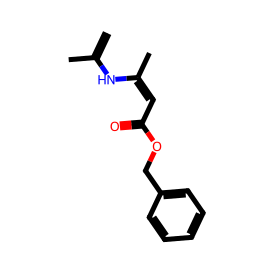 C=C(C)N/C(C)=C\C(=O)OCc1ccccc1